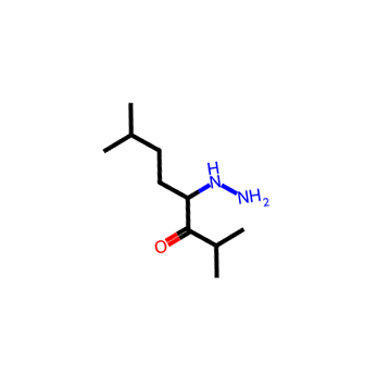 CC(C)CCC(NN)C(=O)C(C)C